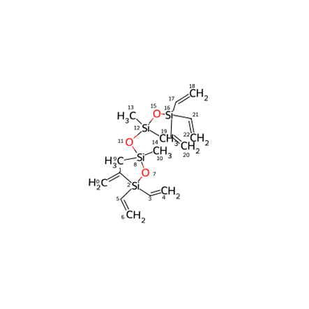 C=C[Si](C=C)(C=C)O[Si](C)(C)O[Si](C)(C)O[Si](C=C)(C=C)C=C